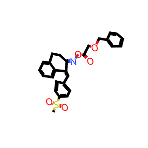 CS(=O)(=O)c1ccc(/C=C2/C(=NOC(=O)COCc3ccccc3)CCc3ccccc32)cc1